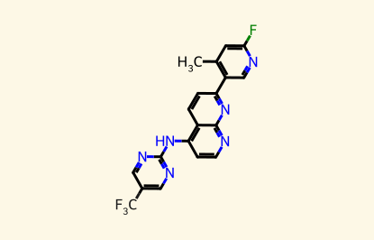 Cc1cc(F)ncc1-c1ccc2c(Nc3ncc(C(F)(F)F)cn3)ccnc2n1